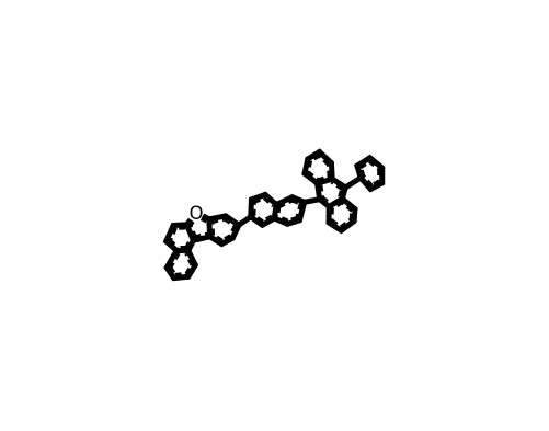 c1ccc(-c2c3ccccc3c(-c3ccc4cc(-c5ccc6c(c5)oc5ccc7ccccc7c56)ccc4c3)c3ccccc23)cc1